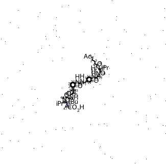 CC(=O)CCCCC(=O)N[C@H](C(=O)N[C@@H](C)C(=O)Nc1ccc(CNC(=O)Nc2cccc(C(C)(C)[C@H](C)C(=O)NC(C(=O)N(C)[C@H](/C=C(\C)C(=O)O)C(C)C)C(C)(C)C)c2)cc1)C(C)C